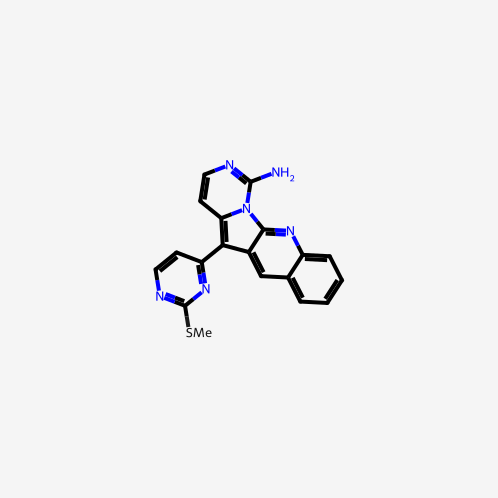 CSc1nccc(-c2c3cc4ccccc4nc3n3c(N)nccc23)n1